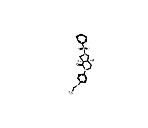 O=C1[C@H]2CN(S(=O)(=O)c3ccccc3)C[C@H]2CCN1c1ccc(OCC(F)(F)F)cc1